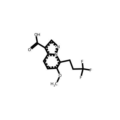 COc1ccc2c(C(=O)O)cnn2c1CCC(F)(F)F